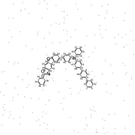 c1ccc(-c2ccc(-c3ccc(N(c4ccccc4)c4ccc(-c5ccc6oc7cc8oc(-c9ccccc9)nc8cc7c6c5)cc4)cc3)cc2)cc1